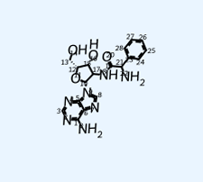 Nc1ncnc2c1ncn2[C@@H]1O[C@H](CO)[C@H](O)C1NC(=O)C(N)c1ccccc1